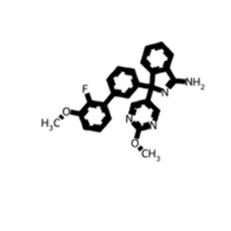 COc1ncc(C2(c3cccc(-c4cccc(OC)c4F)c3)N=C(N)c3ccccc32)cn1